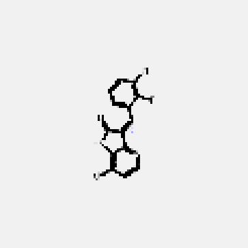 O=C1Nc2c(Cl)ccnc2/C1=C/c1cccc(Cl)c1F